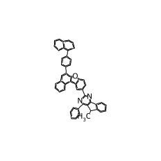 CC1c2ccccc2-c2nc(-c3ccc4oc5c(-c6ccc(-c7cccc8ccccc78)cc6)cc6ccccc6c5c4c3)nc(-c3ccccc3)c21